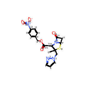 CC1(Cn2cccn2)SC2CC(=O)N2C1C(=O)OCc1ccc([N+](=O)[O-])cc1